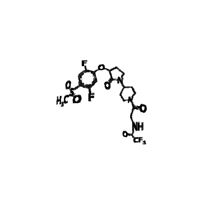 CS(=O)(=O)c1cc(F)c(OC2CCN(C3CCN(C(=O)CNC(=O)C(F)(F)F)CC3)C2=O)cc1F